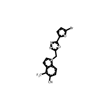 N#Cc1ccc2c(ccn2Cc2nnc(-c3ccc(Br)o3)o2)c1C(F)(F)F